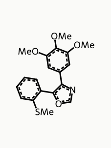 COc1cc(-c2ncoc2-c2ccccc2SC)cc(OC)c1OC